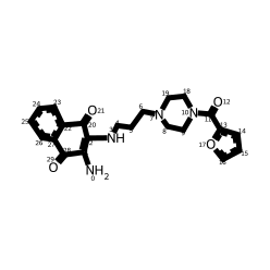 NC1=C(NCCCN2CCN(C(=O)c3ccco3)CC2)C(=O)c2ccccc2C1=O